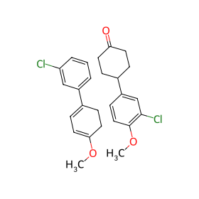 COC1=CC=C(c2cccc(Cl)c2)CC1.COc1ccc(C2CCC(=O)CC2)cc1Cl